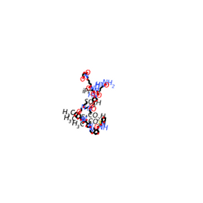 CCC1(Cn2ncc(-c3ccc(N4CCc5cccc(C(=O)Nc6nc7ccccc7s6)c5C4)nc3C(=O)O)c2C)CC2(C)CC(C)CC(OCCN(CCN(CCC(=O)O)C(=O)OCc3ccc(NC(=O)[C@H](CCCNC(N)=O)NC(=O)C(NC(=O)CCCCCN4C(=O)C=CC4=O)C(C)C)cc3)CCS(=O)(=O)O)(C2)C1